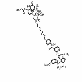 COc1cccc(Nc2c(C(N)=O)cnc3c(C)cc(Cc4cccc(C(=O)Nc5ccc(CCOCCCCCCN(C[C@H](O[Si](C)(C)C(C)(C)C)c6ccc(OC(=O)OC(C)(C)C)c7[nH]c(=O)ccc67)C(=O)OC(C)(C)C)cc5)c4)cc23)c1